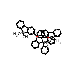 CC1(C)c2ccccc2-c2ccc(N(c3ccc4c(c3)[Si](C)(C)c3ccccc3-4)c3ccccc3C3(c4ccccc4)c4ccccc4-c4ccccc43)cc21